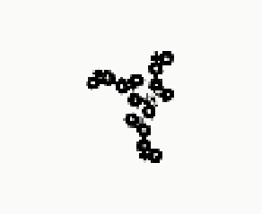 CC1(C)c2ccccc2-c2cc(-c3ccc4c(c3)c3ccccc3n4-c3cccc(-c4nc(-n5c6ccccc6c6cc(-c7ccc8c(c7)-c7ccccc7C8(C)C)ccc65)nc5ccc(-n6c7ccccc7c7cc(-c8ccc9c(c8)-c8ccccc8C9(C)C)ccc76)cc45)c3)ccc21